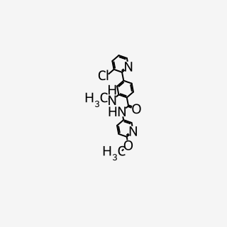 CNc1cc(-c2ncccc2Cl)ccc1C(=O)Nc1ccc(OC)nc1